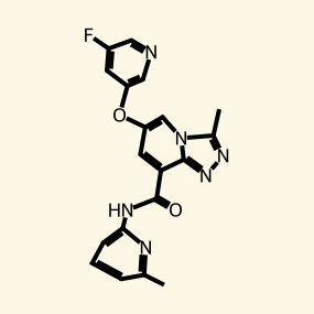 Cc1cccc(NC(=O)c2cc(Oc3cncc(F)c3)cn3c(C)nnc23)n1